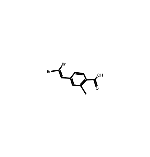 Cc1cc(C=C(Br)Br)ccc1C(=O)O